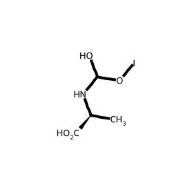 C[C@H](NC(O)OI)C(=O)O